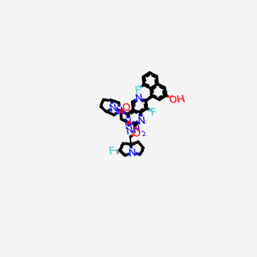 NCCC(=O)N1C2CCC1CN(c1nc(OC[C@@]34CCCN3C[C@H](F)C4)nc3c(F)c(-c4cc(O)cc5cccc(F)c45)ncc13)C2